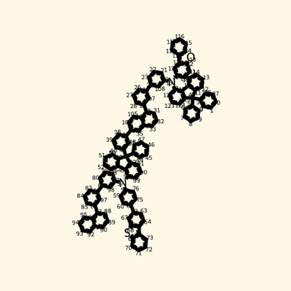 c1ccc(C2(c3ccccc3)c3ccccc3-c3c(N(c4cccc(-c5cccc(-c6cccc7cc(-c8cccc(C9(c%10ccccc%10)c%10ccccc%10-c%10c(N(c%11ccc(-c%12ccc%13c(c%12)sc%12ccccc%12%13)cc%11)c%11cccc(-c%12cccc(-c%13cccc%14ccccc%13%14)c%12)c%11)cccc%109)c8)ccc67)c5)c4)c4ccc5oc6ccccc6c5c4)cccc32)cc1